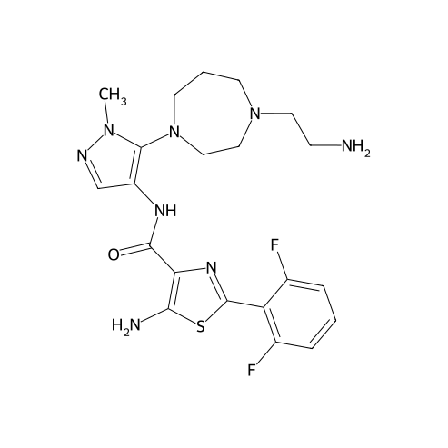 Cn1ncc(NC(=O)c2nc(-c3c(F)cccc3F)sc2N)c1N1CCCN(CCN)CC1